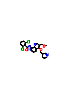 COCc1cnc2c(NC(=O)c3c(Cl)cccc3Cl)cccc2c1OCc1cccnc1